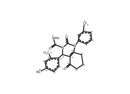 CNC(=O)N1C(=O)N(c2cccc(C(F)(F)F)c2)C2=C(C(=O)CCC2)C1c1ccc(C#N)cc1C